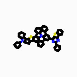 c1ccc(-c2nc(-c3cc(-c4ccccc4)c(-n4c5ccccc5c5c6sc7c(ccc8c7c7ccccc7n8-c7ccccc7)c6ccc54)c(-c4ccccc4)c3)c3sc4ccccc4c3n2)cc1